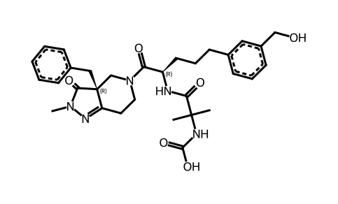 CN1N=C2CCN(C(=O)[C@@H](CCCc3cccc(CO)c3)NC(=O)C(C)(C)NC(=O)O)C[C@@]2(Cc2ccccc2)C1=O